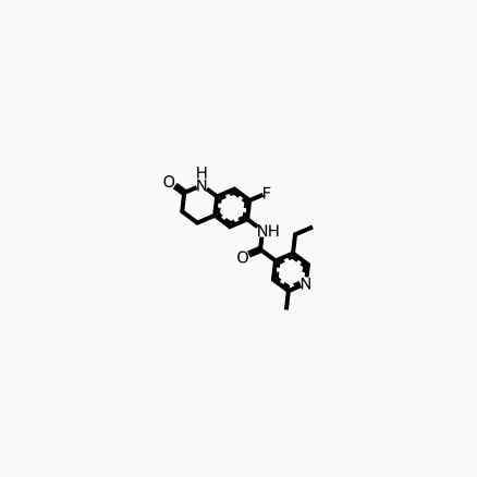 CCc1cnc(C)cc1C(=O)Nc1cc2c(cc1F)NC(=O)CC2